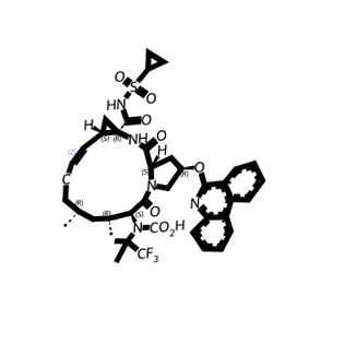 C[C@@H]1CC/C=C\[C@@H]2C[C@@]2(C(=O)NS(=O)(=O)C2CC2)NC(=O)[C@@H]2C[C@@H](Oc3nc4ccccc4c4ccccc34)CN2C(=O)[C@@H](N(C(=O)O)C(C)(C)C(F)(F)F)[C@H](C)C1